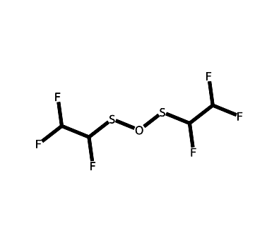 FC(F)C(F)SOSC(F)C(F)F